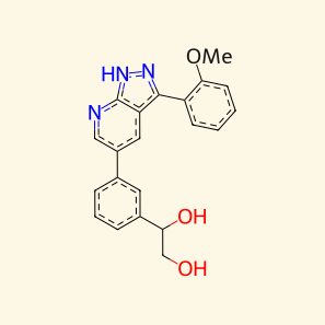 COc1ccccc1-c1n[nH]c2ncc(-c3cccc(C(O)CO)c3)cc12